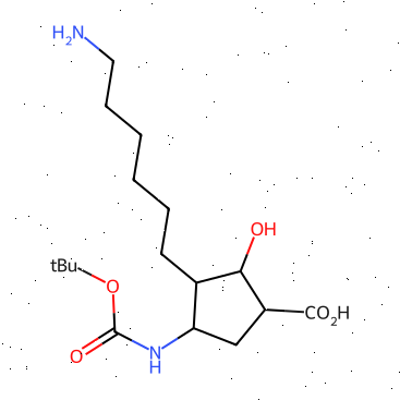 CC(C)(C)OC(=O)NC1CC(C(=O)O)C(O)C1CCCCCCN